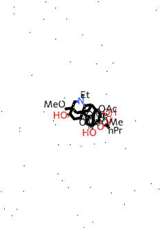 CCCC(=O)O[C@@H]1C2[C@@H]3C[C@]1(O)[C@@H](OC)[C@H](O)[C@]2(OC(C)=O)C1C(OC)C2C4(COC)CN(CC)C1C23[C@@H](OC)C[C@H]4O